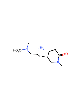 CN(C[C@H](N)C[C@H]1CCC(=O)N(C)C1)C(=O)O